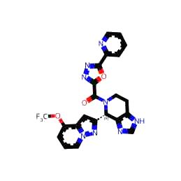 O=C(c1nnc(-c2ccccn2)o1)N1CCc2[nH]cnc2[C@@H]1c1cc2c(OC(F)(F)F)cccn2n1